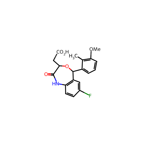 COc1cccc(C2OC(CC(=O)O)C(=O)Nc3ccc(F)cc32)c1C